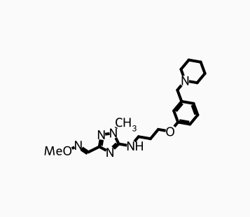 CON=Cc1nc(NCCCOc2cccc(CN3CCCCC3)c2)n(C)n1